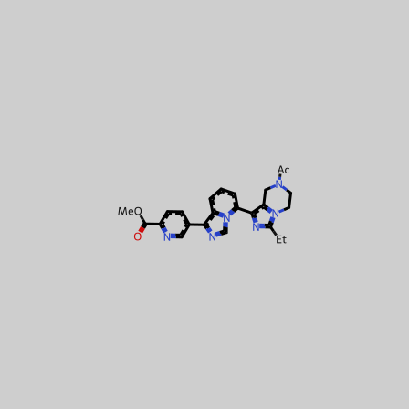 CCc1nc(-c2cccc3c(-c4ccc(C(=O)OC)nc4)ncn23)c2n1CCN(C(C)=O)C2